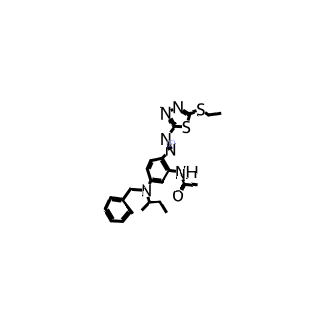 CCSc1nnc(/N=N/c2ccc(N(Cc3ccccc3)C(C)CC)cc2NC(C)=O)s1